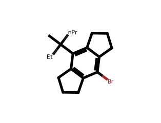 CCCC(C)(CC)c1c2c(c(Br)c3c1CCC3)CCC2